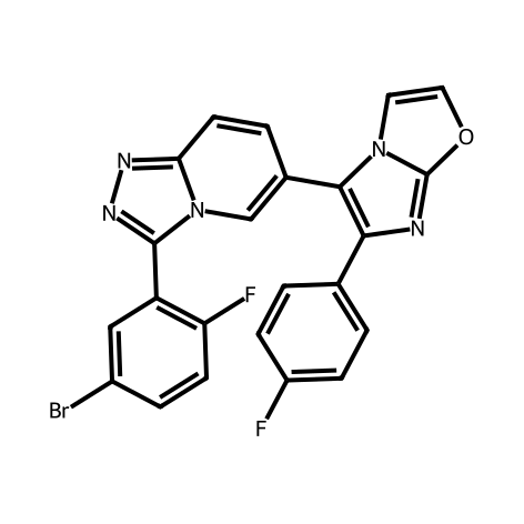 Fc1ccc(-c2nc3occn3c2-c2ccc3nnc(-c4cc(Br)ccc4F)n3c2)cc1